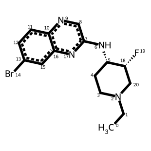 CCN1CC[C@H](Nc2cnc3ccc(Br)cc3n2)[C@H](F)C1